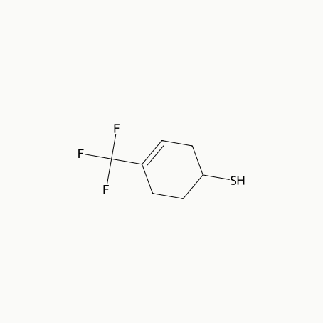 FC(F)(F)C1=CCC(S)CC1